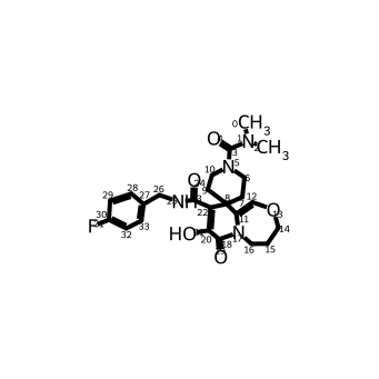 CN(C)C(=O)N1CCC2(CC1)C1=COCCCN1C(=O)C(O)=C2C(=O)NCc1ccc(F)cc1